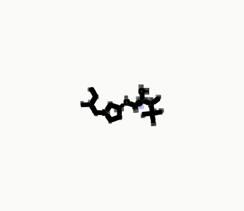 CCC(C)CN1CC[C@@H](O/N=[N+](\O)N(C)C(C)(C)C)C1